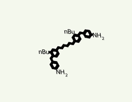 CCCCc1cc(CCCCCCc2ccc(Cc3ccc(N)cc3)c(CCCC)c2)ccc1Cc1ccc(N)cc1